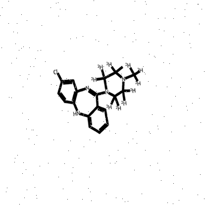 [2H]C([2H])([2H])N1C([2H])([2H])C([2H])([2H])N(C2=Nc3cc(Cl)ccc3Nc3ccccc32)C([2H])([2H])C1([2H])C